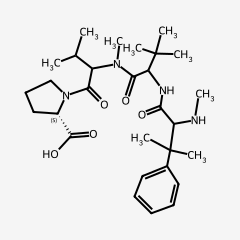 CNC(C(=O)NC(C(=O)N(C)C(C(=O)N1CCC[C@H]1C(=O)O)C(C)C)C(C)(C)C)C(C)(C)c1ccccc1